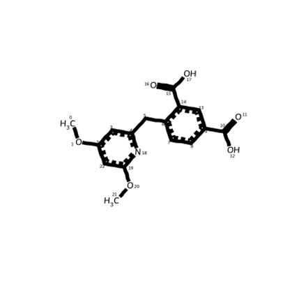 COc1cc(Cc2ccc(C(=O)O)cc2C(=O)O)nc(OC)c1